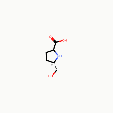 O=C(O)C1CC[C@@H](CO)N1